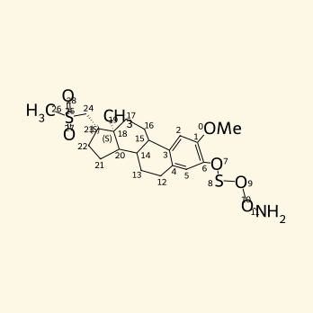 COc1cc2c(cc1OSOON)CCC1C2CC[C@@]2(C)C1CC[C@@H]2CS(C)(=O)=O